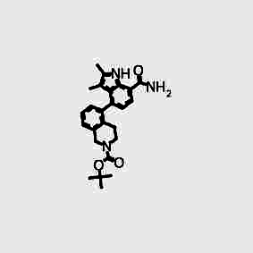 Cc1[nH]c2c(C(N)=O)ccc(-c3cccc4c3CCN(C(=O)OC(C)(C)C)C4)c2c1C